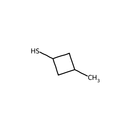 CC1CC(S)C1